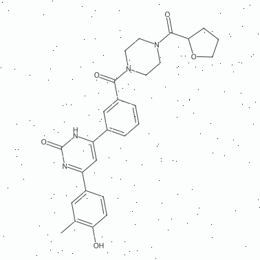 Cc1cc(-c2cc(-c3cccc(C(=O)N4CCN(C(=O)C5CCCO5)CC4)c3)[nH]c(=O)n2)ccc1O